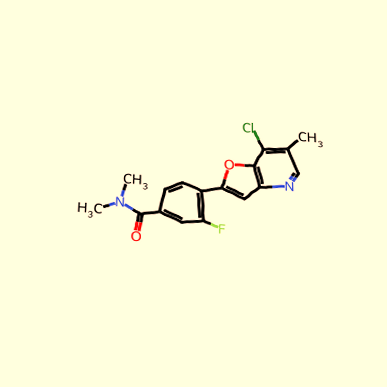 Cc1cnc2cc(-c3ccc(C(=O)N(C)C)cc3F)oc2c1Cl